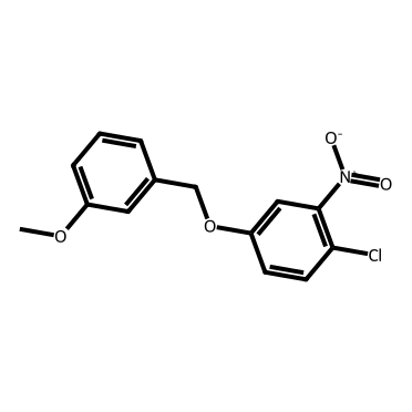 COc1cccc(COc2ccc(Cl)c([N+](=O)[O-])c2)c1